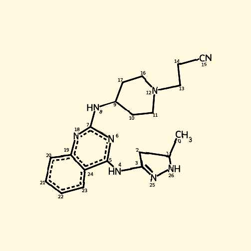 CC1CC(Nc2nc(NC3CCN(CCC#N)CC3)nc3ccccc23)=NN1